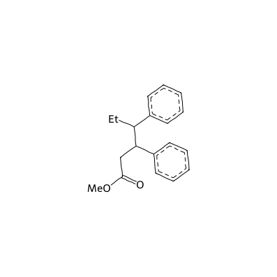 CCC(c1ccccc1)C(CC(=O)OC)c1ccccc1